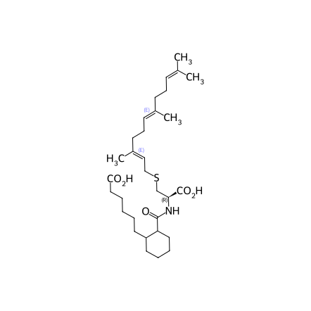 CC(C)=CCC/C(C)=C/CC/C(C)=C/CSC[C@H](NC(=O)C1CCCCC1CCCCCC(=O)O)C(=O)O